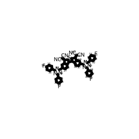 N#CC(C#N)=C1c2cc(-c3nc(-c4ccc(F)cc4)nc(-c4ccc(F)cc4)n3)ccc2-c2c1sc1c2-c2ccc(-c3nc(-c4ccc(F)cc4)nc(-c4ccc(F)cc4)n3)cc2C1=C(C#N)C#N